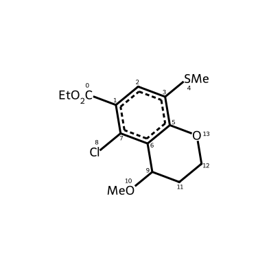 CCOC(=O)c1cc(SC)c2c(c1Cl)C(OC)CCO2